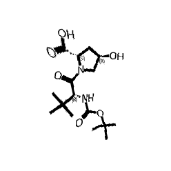 CC(C)(C)OC(=O)N[C@@H](C(=O)N1C[C@H](O)C[C@H]1C(=O)O)C(C)(C)C